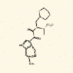 CCOC(=O)[C@H](C)N(CC1CCCCC1)C(=O)C(=O)c1c[nH]c2cc(OC)ccc12